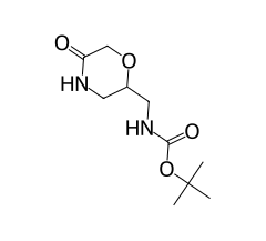 CC(C)(C)OC(=O)NCC1CNC(=O)CO1